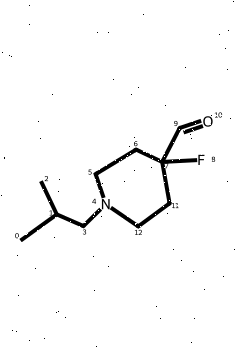 CC(C)CN1CCC(F)(C=O)CC1